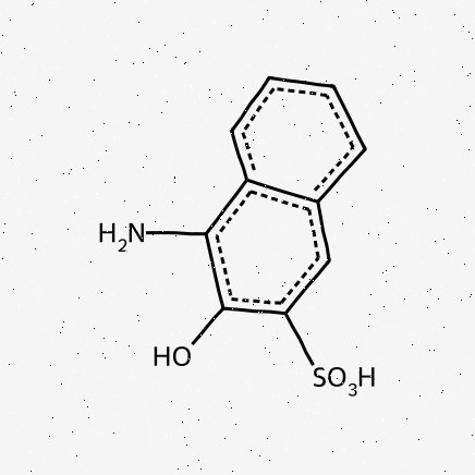 Nc1c(O)c(S(=O)(=O)O)cc2ccccc12